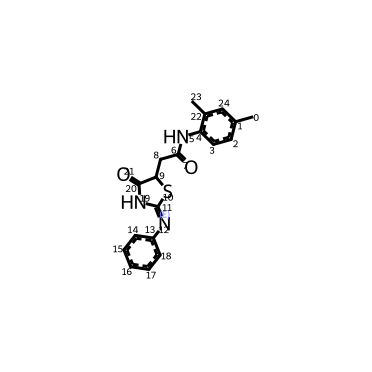 Cc1ccc(NC(=O)CC2S/C(=N/c3ccccc3)NC2=O)c(C)c1